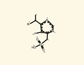 CC(Br)c1ncnc(CS(=O)(=O)O)c1F